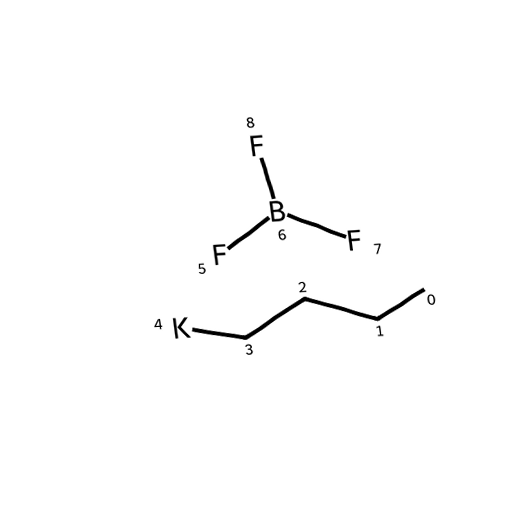 CCC[CH2][K].FB(F)F